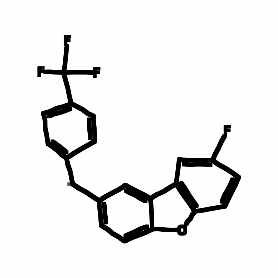 Fc1ccc2oc3ccc([CH]c4ccc(C(F)(F)F)cc4)cc3c2c1